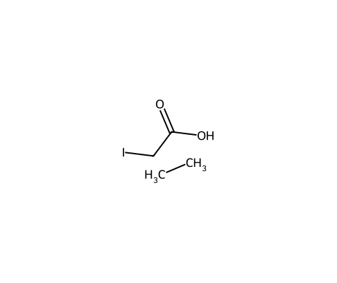 CC.O=C(O)CI